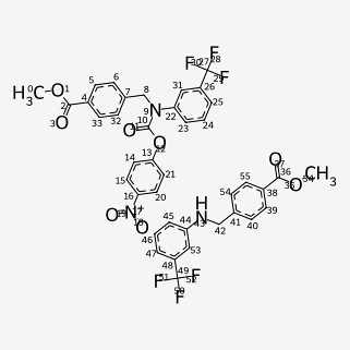 COC(=O)c1ccc(CN(C(=O)Oc2ccc([N+](=O)[O-])cc2)c2cccc(C(F)(F)F)c2)cc1.COC(=O)c1ccc(CNc2cccc(C(F)(F)F)c2)cc1